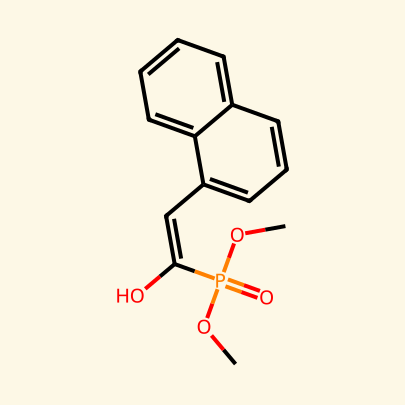 COP(=O)(OC)C(O)=Cc1cccc2ccccc12